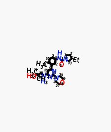 CC[C@@H]1CCN(C(=O)Nc2ccc(C)c(-c3cc(NCC(C)(C)O)nc(N4CCOCC4)n3)c2)C1